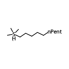 CCCCCCCCCC[SH](C)(C)(C)C